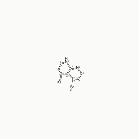 O=c1cc[nH]c2nccc(Br)c12